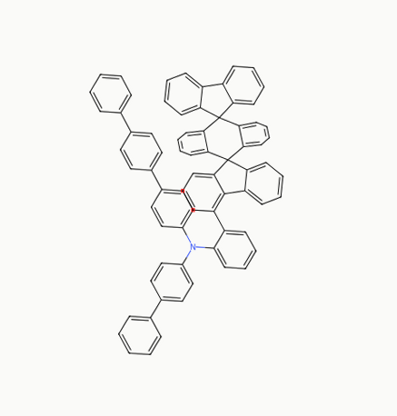 c1ccc(-c2ccc(-c3ccc(N(c4ccc(-c5ccccc5)cc4)c4ccccc4-c4cccc5c4-c4ccccc4C54c5ccccc5C5(c6ccccc6-c6ccccc65)c5ccccc54)cc3)cc2)cc1